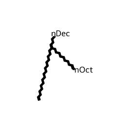 C=CCCCCCCCCCCCCCCCCC(=CCCCCCCCCCCCCC)CCCCCCCCC=CCCCCCCCC